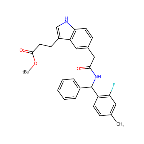 Cc1ccc(C(NC(=O)Cc2ccc3[nH]cc(CCC(=O)OC(C)(C)C)c3c2)c2ccccc2)c(F)c1